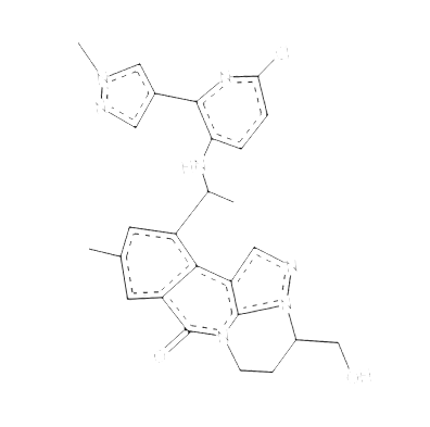 Cc1cc(C(C)Nc2ccc(Cl)nc2-c2cnn(C)c2)c2c(c1)c(=O)n1c3c2cnn3C(CO)CC1